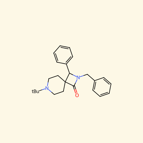 CC(C)(C)N1CCC2(CC1)C(=O)N(Cc1ccccc1)C2c1ccccc1